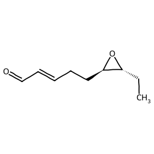 CC[C@H]1O[C@@H]1CCC=CC=O